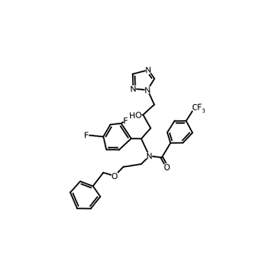 O=C(c1ccc(C(F)(F)F)cc1)N(CCOCc1ccccc1)C(CC(O)Cn1cncn1)c1ccc(F)cc1F